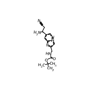 CC(C)(C)OC(=O)NCc1cn2ncc(C(N)CC#N)cc2n1